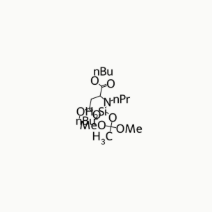 CCCCOC(=O)CC(C(=O)OCCCC)N(CCC)[SiH2]OC(C)(OC)OC